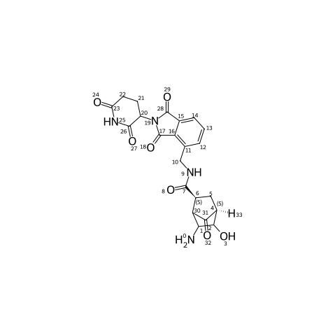 NC1C(O)[C@@H]2C[C@H](C(=O)NCc3cccc4c3C(=O)N(C3CCC(=O)NC3=O)C4=O)C1C2=O